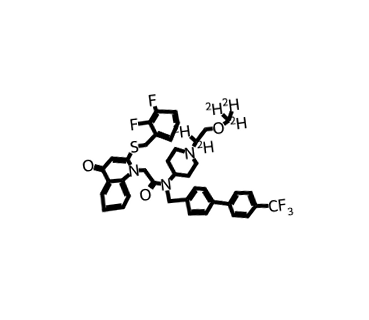 [2H]C([2H])([2H])OCC([2H])([2H])N1CCC(N(Cc2ccc(-c3ccc(C(F)(F)F)cc3)cc2)C(=O)Cn2c(SCc3cccc(F)c3F)cc(=O)c3ccccc32)CC1